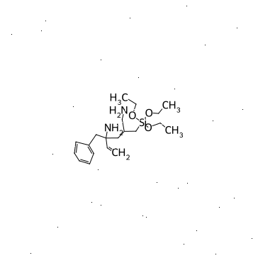 C=CC(N)(Cc1ccccc1)CC(CN)C[Si](OCC)(OCC)OCC